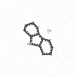 [Cu].[c]1cccc2c1[nH]c1ccccc12